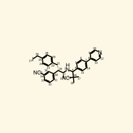 C[C@H](NC(c1ccc(-c2ccncc2)cc1)C(C)(C)C#N)[C@@H](Cc1ccc(CI)cc1)c1cccc(C#N)c1